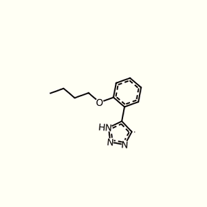 CCCCOc1ccccc1-c1[c]nn[nH]1